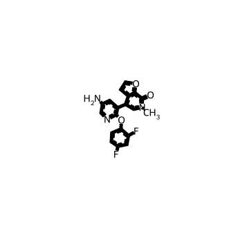 Cn1cc(-c2cc(N)cnc2Oc2ccc(F)cc2F)c2ccoc2c1=O